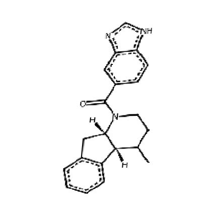 CC1CCN(C(=O)c2ccc3[nH]cnc3c2)[C@H]2Cc3ccccc3[C@@H]12